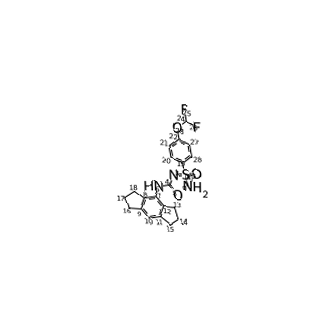 N[S@@](=O)(=NC(=O)Nc1c2c(cc3c1CCC3)CCC2)c1ccc(OC(F)F)cc1